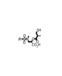 CC(C)S(=O)(=O)N(C)C[C@H](OC(=O)[C@H](C)CS)C(=O)O